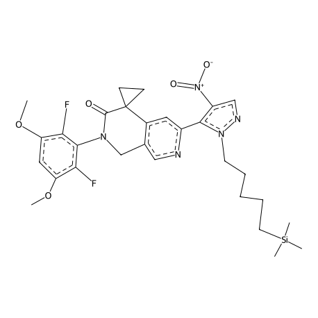 COc1cc(OC)c(F)c(N2Cc3cnc(-c4c([N+](=O)[O-])cnn4CCCCC[Si](C)(C)C)cc3C3(CC3)C2=O)c1F